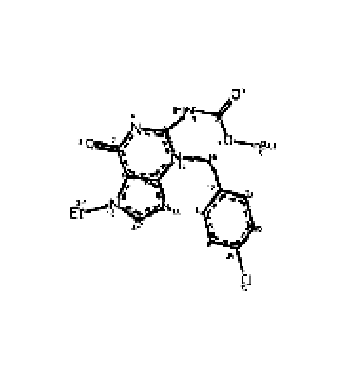 CCCCOC(=O)Nc1nc(=O)c2c(ncn2CC)n1Cc1ccc(Cl)cc1